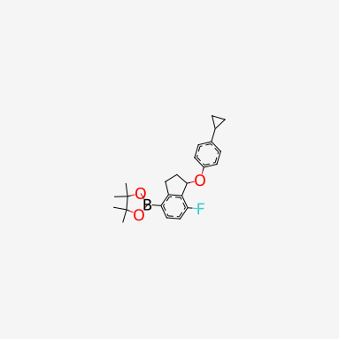 CC1(C)OB(c2ccc(F)c3c2CCC3Oc2ccc(C3CC3)cc2)OC1(C)C